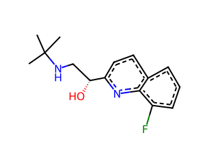 CC(C)(C)NC[C@@H](O)c1ccc2cccc(F)c2n1